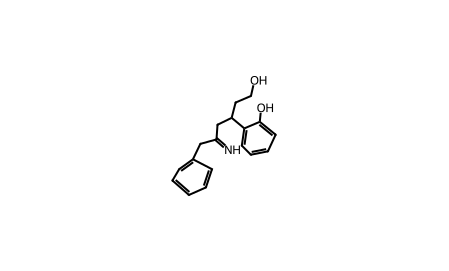 N=C(Cc1ccccc1)CC(CCO)c1ccccc1O